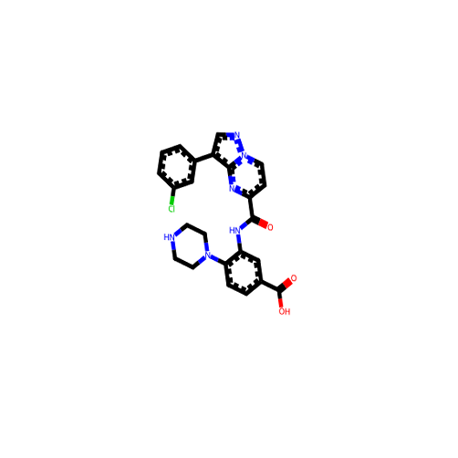 O=C(O)c1ccc(N2CCNCC2)c(NC(=O)c2ccn3ncc(-c4cccc(Cl)c4)c3n2)c1